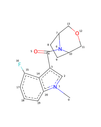 Cn1cc(C(=O)N2C3CCC2COC3)c2c(F)cccc21